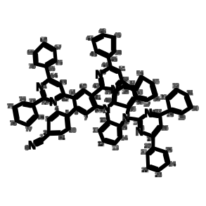 N#Cc1ccc(-c2cc(N3c4ccccc4N(c4nc(-c5ccccc5)cc(-c5ccccc5)n4)c4ccccc43)c(-c3nc(-c4ccccc4)cc(-c4ccccc4)n3)cc2-c2cc(-c3ccccc3)nc(-c3ccccc3)n2)cc1